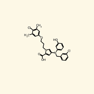 Cc1cc(OCCCn2cc(N(Cc3cccc(Cl)c3)c3cccc(O)c3)cc2C(=O)O)cc(C)c1Cl